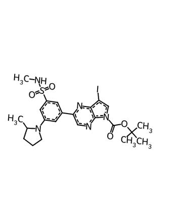 CNS(=O)(=O)c1cc(-c2cnc3c(n2)c(I)cn3C(=O)OC(C)(C)C)cc(N2CCCC2C)c1